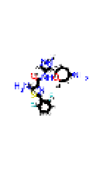 C[C@@H]1CC(N)CC[C@H](c2c(NC(=O)c3nc(-c4c(F)cccc4F)sc3N)cnn2C)O1